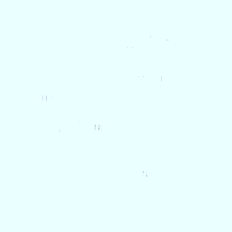 CC(C(=O)NCCCN1CCCCC1)c1ccc(OS(=O)(=O)C(F)(F)F)cc1